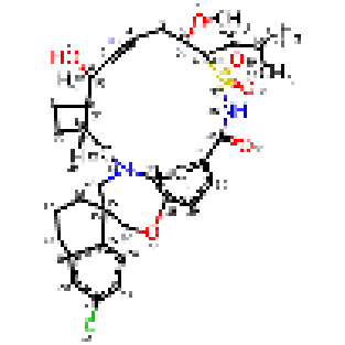 CO[C@@H]1C/C=C/[C@H](O)[C@@H]2CC[C@H]2CN2C[C@@]3(CCCc4cc(Cl)ccc43)COc3ccc(cc32)C(=O)NS(=O)(=O)[C@@H]1CC(C)C